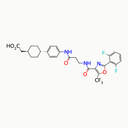 O=C(O)C[C@H]1CC[C@H](c2ccc(NC(=O)CCNC(=O)c3nc(-c4c(F)cccc4F)oc3C(F)(F)F)cc2)CC1